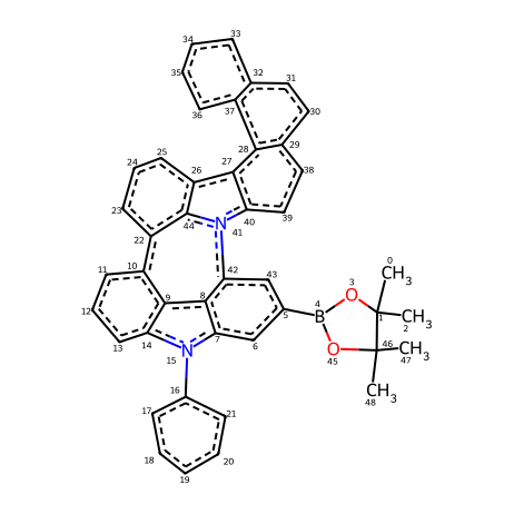 CC1(C)OB(c2cc3c4c5c(cccc5n3-c3ccccc3)c3cccc5c6c7c(ccc8ccccc87)ccc6n(c4c2)c35)OC1(C)C